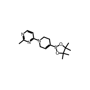 Cc1nccc(N2CC=C(B3OC(C)(C)C(C)(C)O3)CC2)n1